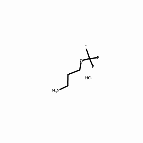 Cl.NCCCOC(F)(F)F